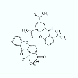 CC(C)c1cccc2oc3c([S+](C)[O-])cc([S+](C)[O-])cc3c(=O)c12.C[S+]([O-])c1c(C(=O)O)ccc2oc3ccccc3c(=O)c12